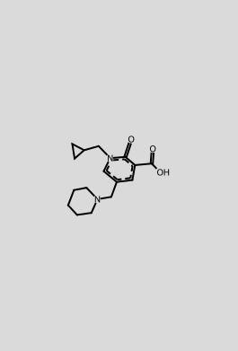 O=C(O)c1cc(CN2CCCCC2)cn(CC2CC2)c1=O